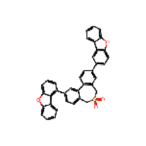 O=S1(=O)Cc2cc(-c3ccc4oc5ccccc5c4c3)ccc2-c2cc(-c3cccc4oc5ccccc5c34)ccc2C1